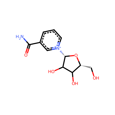 NC(=O)c1ccc[n+]([C@@H]2O[C@H](CO)C(O)C2O)c1